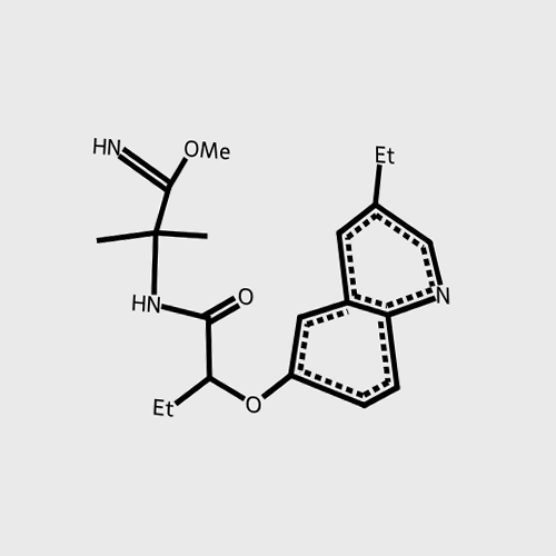 CCc1cnc2ccc(OC(CC)C(=O)NC(C)(C)C(=N)OC)cc2c1